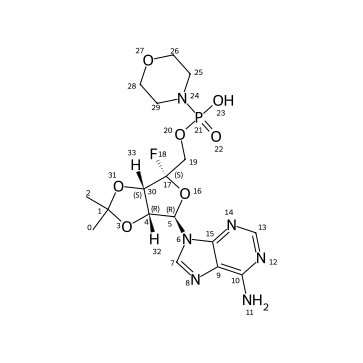 CC1(C)O[C@H]2[C@H](n3cnc4c(N)ncnc43)O[C@](F)(COP(=O)(O)N3CCOCC3)[C@H]2O1